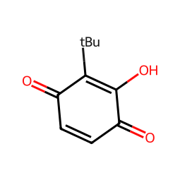 CC(C)(C)C1=C(O)C(=O)C=CC1=O